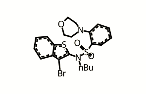 CCCCN(c1sc2ccccc2c1Br)S(=O)(=O)c1ccccc1N1CCOCC1